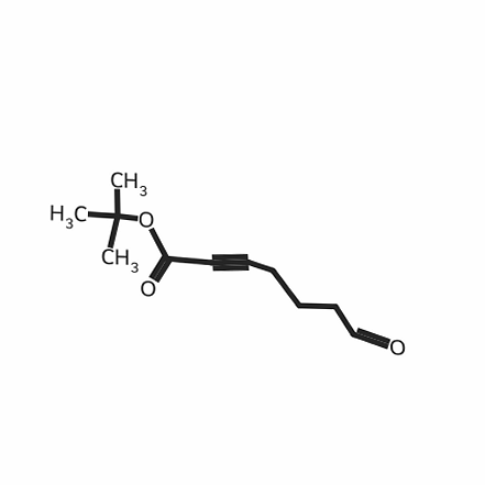 CC(C)(C)OC(=O)C#CCCCC=O